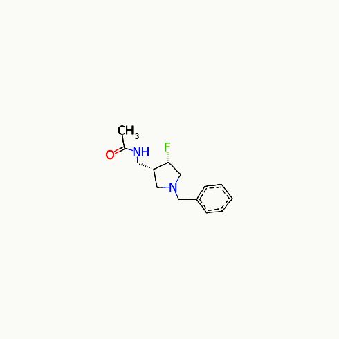 CC(=O)NC[C@H]1CN(Cc2ccccc2)C[C@H]1F